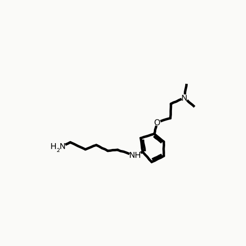 CN(C)CCOc1cccc(NCCCCCN)c1